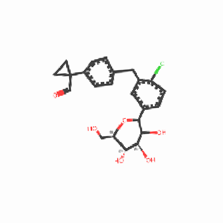 O=CC1(c2ccc(Cc3cc(C4O[C@H](CO)[C@@H](O)[C@H](O)C4O)ccc3Cl)cc2)CC1